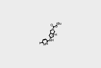 CC(C)(C)OC(=O)N1CC2C[C@H](Nc3ccc(I)nn3)C[C@@H]2C1